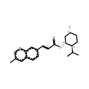 Cc1cnc2cc(/C=C/C(=O)O[C@@H]3C[C@H](C)CC[C@H]3C(C)C)ccc2c1